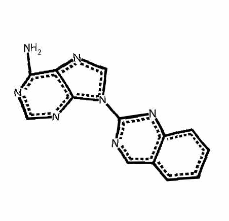 Nc1ncnc2c1ncn2-c1ncc2ccccc2n1